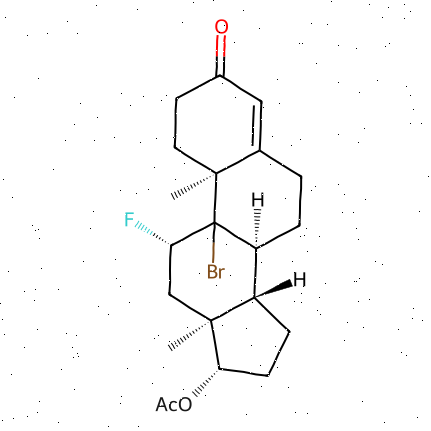 CC(=O)O[C@H]1CC[C@H]2[C@@H]3CCC4=CC(=O)CC[C@]4(C)C3(Br)[C@@H](F)C[C@]12C